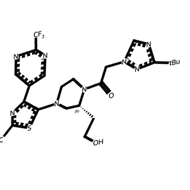 CC(C)(C)c1ncn(CC(=O)N2CCN(c3sc(C(F)(F)F)nc3-c3cnc(C(F)(F)F)nc3)C[C@H]2CCO)n1